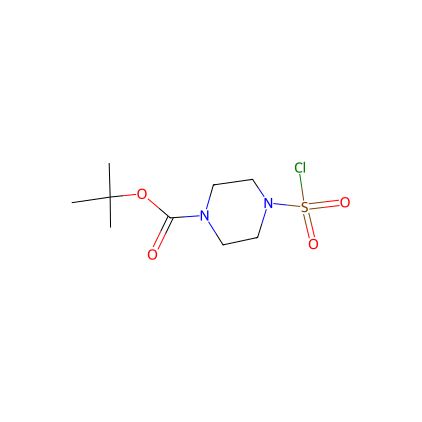 CC(C)(C)OC(=O)N1CCN(S(=O)(=O)Cl)CC1